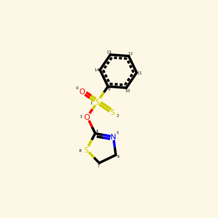 O=S(=S)(OC1=NCCS1)c1ccccc1